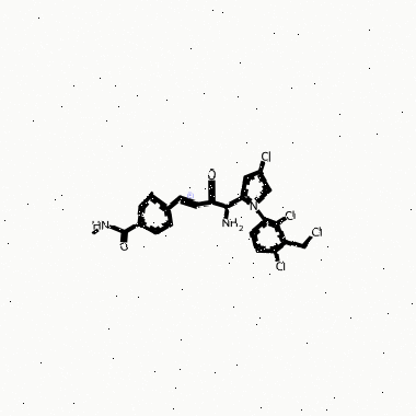 CNC(=O)c1ccc(/C=C/C(=O)C(N)c2cc(Cl)cn2-c2ccc(Cl)c(CCl)c2Cl)cc1